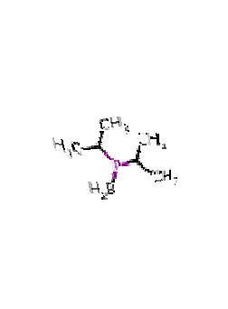 BP(C(C)C)C(C)C